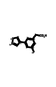 O=C(O)Cc1cc(F)cc(-c2cnsc2)c1